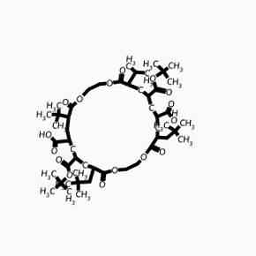 CC(C)C1CC(C(=O)OC(C)(C)C)CC(C(=O)O)CC(CC(C)(C)C)C(=O)OCCOC(=O)C(CC(C)(C)C)CC(C(=O)OC(C)(C)C)CC(C(=O)O)CC(C(C)(C)C)C(=O)OCCOC1=O